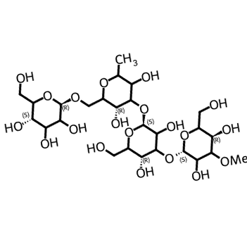 COC1C(O)[C@H](OC2C(O)[C@H](OC3C(O)C(C)OC(CO[C@@H]4OC(CO)[C@@H](O)C(O)C4O)[C@H]3O)OC(CO)[C@H]2O)OC(CO)[C@H]1O